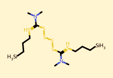 CN(C)C(SSSSC(=[SH]CCC[SiH3])N(C)C)=[SH]CCC[SiH3]